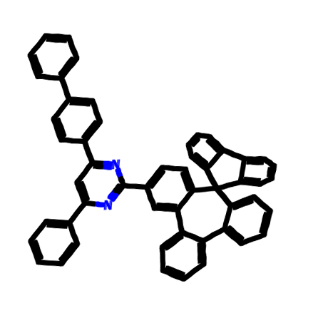 c1ccc(-c2ccc(-c3cc(-c4ccccc4)nc(-c4ccc5c(c4)-c4ccccc4-c4ccccc4C54c5ccccc5-c5ccccc54)n3)cc2)cc1